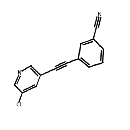 N#Cc1cccc(C#Cc2cncc(Cl)c2)c1